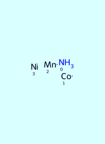 N.[Co].[Mn].[Ni]